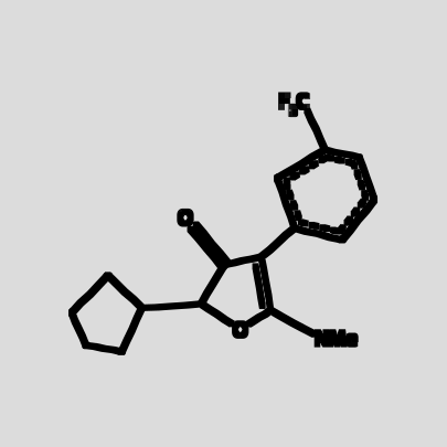 CNC1=C(c2cccc(C(F)(F)F)c2)C(=O)C(C2CCCC2)O1